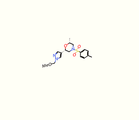 COCn1cc([C@H]2CN(S(=O)(=O)c3ccc(C)cc3)C[C@@H](C)O2)cn1